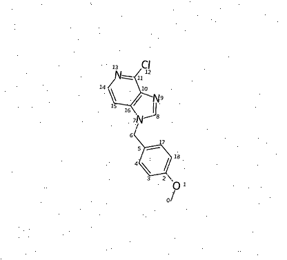 COc1ccc(Cn2cnc3c(Cl)nccc32)cc1